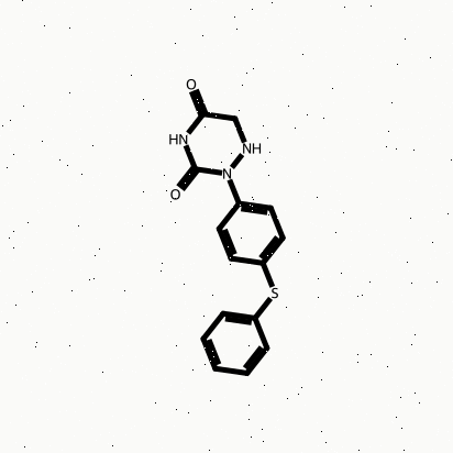 O=C1CNN(c2ccc(Sc3ccccc3)cc2)C(=O)N1